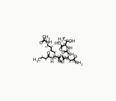 CCCC(=O)N[C@@H](CCCCNC(C)=O)c1noc([C@H](CC(N)=O)NC(=O)NC(C(=O)O)C(C)O)n1